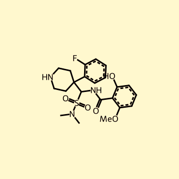 COc1cccc(O)c1C(=O)NC(C1(c2ccccc2F)CCNCC1)S(=O)(=O)N(C)C